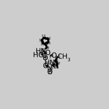 CC(OCOP(=O)(O)NCc1ccccc1)c1cnc([N+](=O)[O-])[nH]1